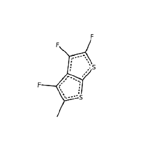 Cc1sc2sc(F)c(F)c2c1F